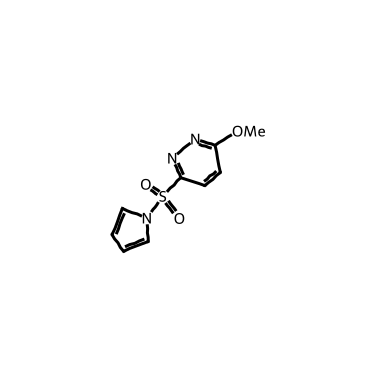 COc1ccc(S(=O)(=O)n2cccc2)nn1